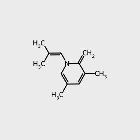 C=C1C(C)=CC(C)=CN1C=C(C)C